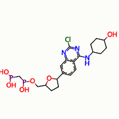 OC1CCC(Nc2nc(Cl)nc3cc(C4CCC(COP(O)CP(O)O)O4)ccc23)CC1